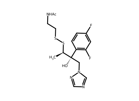 CC(=O)NCCSS[C@H](C)[C@](O)(Cn1cncn1)c1ccc(F)cc1F